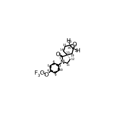 O=C1N(c2ccc(OC(F)(F)F)cc2)CC[C@@]12CC[C@@H]1O[C@@H]1C2